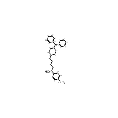 Cc1ccc(C(O)CCCCN2CCC(C(c3ccccc3)c3ccccc3)CC2)cc1